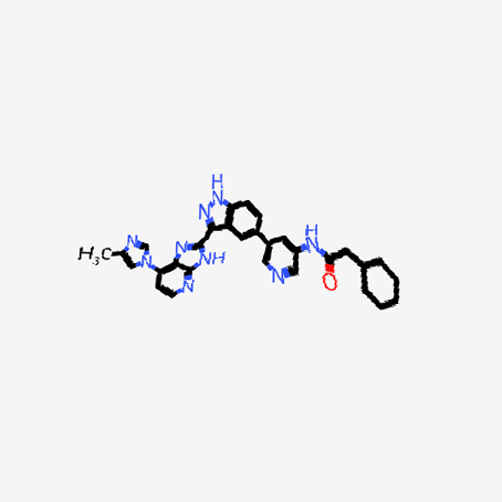 Cc1cn(-c2ccnc3[nH]c(-c4n[nH]c5ccc(-c6cncc(NC(=O)CC7CCCCC7)c6)cc45)nc23)cn1